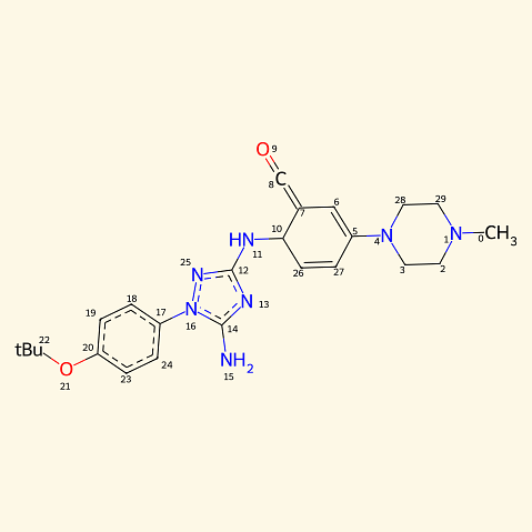 CN1CCN(C2=CC(=C=O)C(Nc3nc(N)n(-c4ccc(OC(C)(C)C)cc4)n3)C=C2)CC1